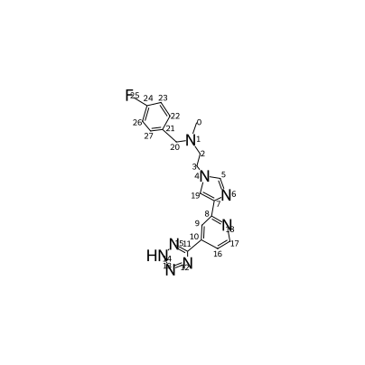 CN(CCn1cnc(-c2cc(-c3nn[nH]n3)ccn2)c1)Cc1ccc(F)cc1